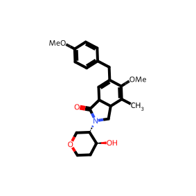 COC1=C(C)C2CN([C@H]3COCC[C@@H]3O)C(=O)C2C=C1Cc1ccc(OC)cc1